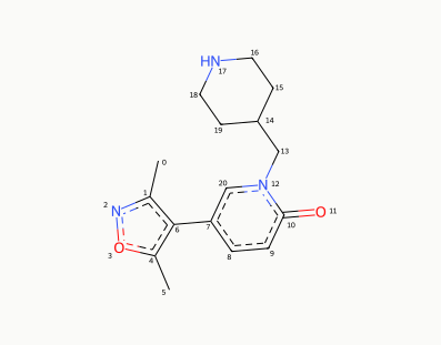 Cc1noc(C)c1-c1ccc(=O)n(CC2CCNCC2)c1